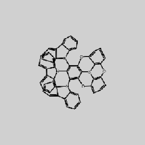 c1cc2c3c(c1)Oc1c4c(c(-n5c6ccccc6c6ccccc65)c(-n5c6ccccc6c6ccccc65)c1-n1c5ccccc5c5ccccc51)Oc1cccc(c1B34)O2